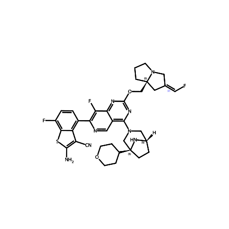 N#Cc1c(N)sc2c(F)ccc(-c3ncc4c(N5C[C@@H]6CC[C@](C7CCOCC7)(C5)N6)nc(OC[C@@]56CCCN5C/C(=C\F)C6)nc4c3F)c12